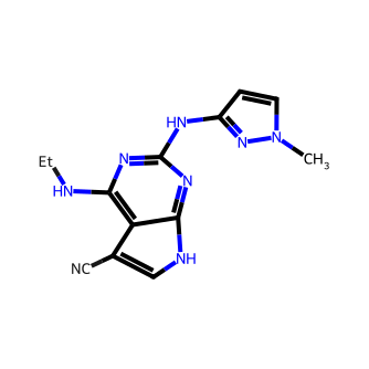 CCNc1nc(Nc2ccn(C)n2)nc2[nH]cc(C#N)c12